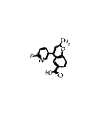 CC1C=C(c2ccc(F)nc2)c2cc(C(=O)O)ccc2O1